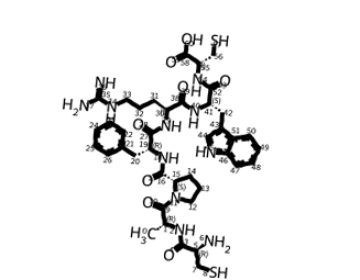 C[C@@H](NC(=O)[C@@H](N)CS)C(=O)N1CCC[C@H]1C(=O)N[C@H](Cc1ccccc1)C(=O)N[C@@H](CCCNC(=N)N)C(=O)N[C@@H](Cc1c[nH]c2ccccc12)C(=O)N[C@@H](CS)C(=O)O